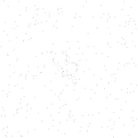 CCCCc1cc(CCCC)c2ccccc2c1